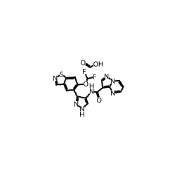 O=C(Nc1c[nH]nc1-c1cc2cnsc2cc1OC(F)F)c1cnn2cccnc12.O=CO